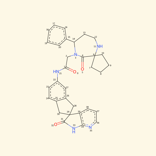 O=C(CN1C(=O)C2(CCCC2)NCCC1c1ccccc1)Nc1ccc2c(c1)CC1(C2)C(=O)Nc2ncccc21